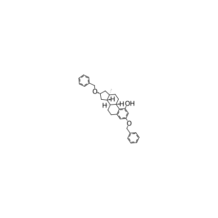 C[C@]12CC[C@@H]3c4c(O)cc(OCc5ccccc5)cc4CC[C@H]3[C@@H]1C[C@@H](OCc1ccccc1)C2